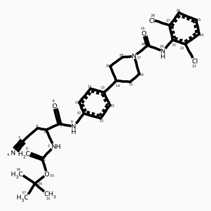 C=C(NC(CC#N)C(=O)Nc1ccc(C2CCN(C(=O)Nc3c(Cl)cccc3Cl)CC2)cc1)OC(C)(C)C